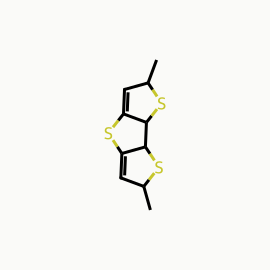 CC1C=C2SC3=CC(C)SC3C2S1